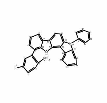 O=[N+]([O-])c1ccc(Cl)cc1-c1cccc2c1oc1c2ccc2c1c1ccccc1n2-c1ccccc1